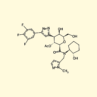 CC(=O)O[C@@H]1[C@@H](n2cc(-c3cc(F)c(F)c(F)c3)nn2)[C@@H](O)[C@@H](CO)O[C@H]1C(=O)N(Cc1ccnn1C)[C@H]1CCCC[C@@H]1O